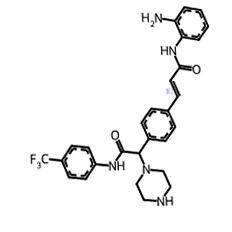 Nc1ccccc1NC(=O)/C=C/c1ccc(C(C(=O)Nc2ccc(C(F)(F)F)cc2)N2CCNCC2)cc1